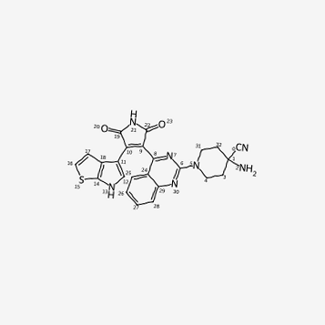 N#CC1(N)CCN(c2nc(C3=C(c4c[nH]c5sccc45)C(=O)NC3=O)c3ccccc3n2)CC1